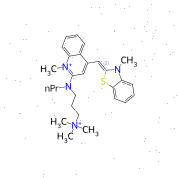 CCCN(CCC[N+](C)(C)C)c1cc(/C=C2\Sc3ccccc3N2C)c2ccccc2[n+]1C